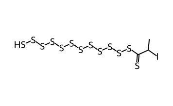 CC(I)C(=S)SSSSSSSSSSSS